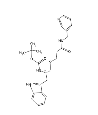 CC(C)(C)OC(=O)N[C@H](CSCCC(=O)NCc1cccnc1)Cc1c[nH]c2ccccc12